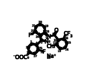 O=C([O-])c1ccc(-c2nn(C(=O)c3c(Cl)cccc3C(F)(F)F)c3cccc(F)c23)c(F)c1.[Na+]